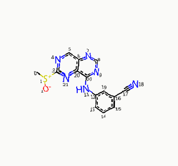 C[S+]([O-])c1ncc2ncnc(Nc3cccc(C#N)c3)c2n1